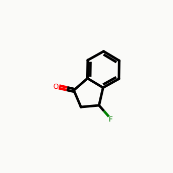 O=C1CC(F)c2ccccc21